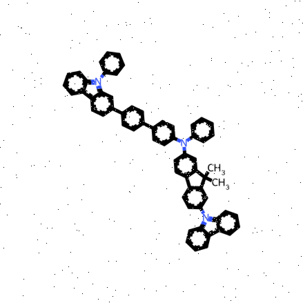 CC1(C)c2cc(N(c3ccccc3)c3ccc(-c4ccc(-c5ccc6c7ccccc7n(-c7ccccc7)c6c5)cc4)cc3)ccc2-c2ccc(-n3c4ccccc4c4ccccc43)cc21